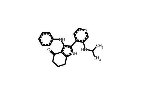 CC(C)Nc1cnccc1-c1[nH]c2c(c1Nc1ccccc1)C(=O)CCC2